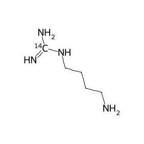 N=[14C](N)NCCCCN